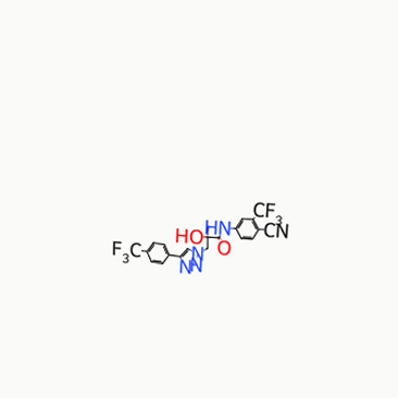 C[C@](O)(Cn1cc(-c2ccc(C(F)(F)F)cc2)nn1)C(=O)Nc1ccc(C#N)c(C(F)(F)F)c1